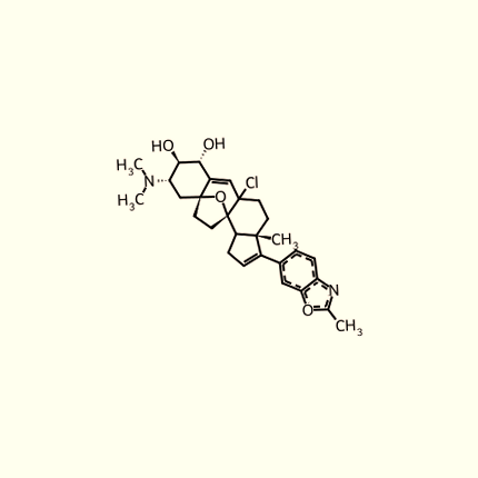 Cc1nc2ccc(C3=CCC4[C@@]56CC[C@]7(C[C@H](N(C)C)[C@@H](O)[C@H](O)C7=CC5(Cl)CC[C@]34C)O6)cc2o1